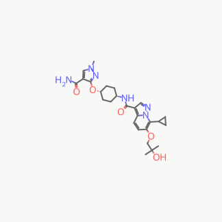 Cn1cc(C(N)=O)c(O[C@H]2CC[C@H](NC(=O)c3cnn4c(C5CC5)c(OCC(C)(C)O)ccc34)CC2)n1